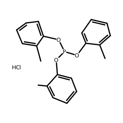 Cc1ccccc1OP(Oc1ccccc1C)Oc1ccccc1C.Cl